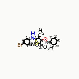 Cc1c(Nc2ccc(Br)cc2[N+](=O)[O-])sc(C(=O)O)c1OCc1ccccc1